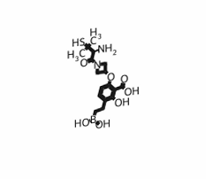 CC(C)(S)[C@@H](N)C(=O)N1CC(Oc2ccc(CCB(O)O)c(O)c2C(=O)O)C1